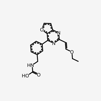 CCOC=Cc1nc(-c2cccc(CNC(=O)O)c2)c2occc2n1